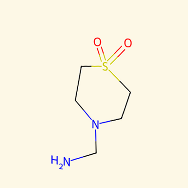 NCN1CCS(=O)(=O)CC1